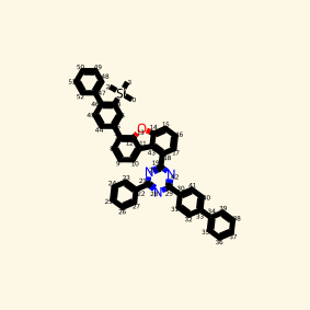 C[Si](C)(C)c1cc(-c2cccc3c2oc2cccc(-c4nc(-c5ccccc5)nc(-c5ccc(-c6ccccc6)cc5)n4)c23)ccc1-c1ccccc1